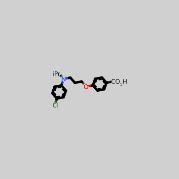 CC(C)N(CCCOc1ccc(C(=O)O)cc1)c1ccc(Cl)cc1